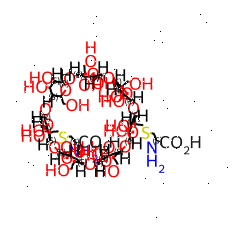 N[C@H](CSCC1O[C@H]2O[C@@H]3C(CO)O[C@H](O[C@@H]4C(CO)O[C@H](O[C@@H]5C(CO)O[C@H](O[C@@H]6C(CSC[C@@H](N)C(=O)O)O[C@H](O[C@@H]7C(CO)O[C@@H](O[C@@H]8C(CO)O[C@@H](O[C@H]1C(O)[C@@H]2O)[C@@H](O)C8O)[C@@H](O)C7O)C(O)[C@H]6O)C(O)[C@H]5O)[C@@H](O)C4O)[C@@H](O)C3O)C(=O)O